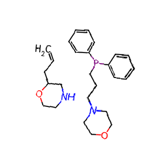 C=CCC1CNCCO1.c1ccc(P(CCCN2CCOCC2)c2ccccc2)cc1